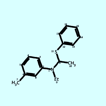 CCN(c1cccc(C)c1)C(C)Sc1ccccc1